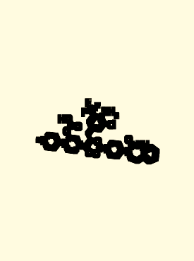 CN1CCC(N2CCN(C(=O)[C@@H](Cc3cc(Cl)c(N)c(C(F)(F)F)c3)OC(=O)N3CCC(N4CCc5ccccc5NC4=O)CC3)C[C@@H]2OC(=O)O)CC1